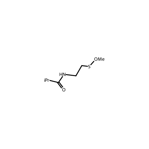 COSCCNC(=O)C(C)C